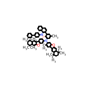 Cc1cc2c3c(c1)N(c1cc4oc5cc6c(cc5c4cc1C)C(C)(C)CCC6(C)C)c1cc4oc5cc6c(cc5c4cc1B3N(c1ccc(-c3ccccc3)cc1)c1c-2ccc2ccccc12)C(C)(C)CCC6(C)C